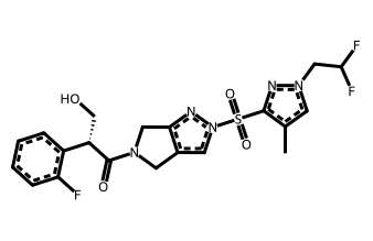 Cc1cn(CC(F)F)nc1S(=O)(=O)n1cc2c(n1)CN(C(=O)[C@@H](CO)c1ccccc1F)C2